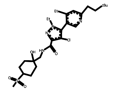 CCc1cc(CCC(C)(C)C)ncc1-c1c(Cl)c(C(=O)NCC2(O)CCC(S(C)(=O)=O)CC2)nn1CC